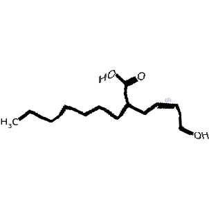 CCCCCCCC(C/C=C\CO)C(=O)O